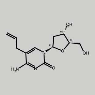 C=CCc1cn([C@H]2C[C@H](O)[C@@H](CO)O2)c(=O)nc1N